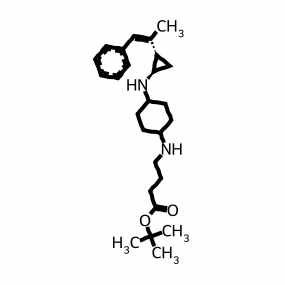 CC(=Cc1ccccc1)[C@@H]1C[C@H]1NC1CCC(NCCCC(=O)OC(C)(C)C)CC1